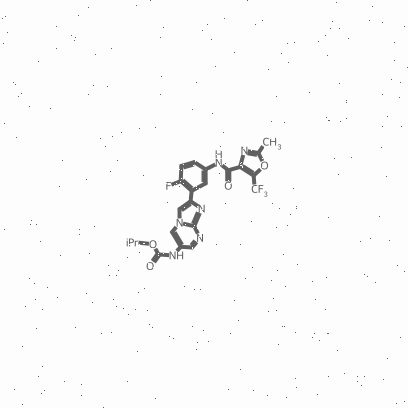 Cc1nc(C(=O)Nc2ccc(F)c(-c3cn4cc(NC(=O)OC(C)C)cnc4n3)c2)c(C(F)(F)F)o1